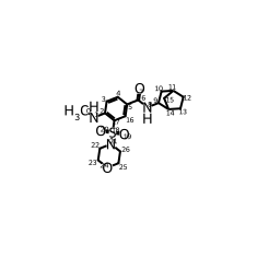 CNc1ccc(C(=O)NC2CC3CCC2C3)cc1S(=O)(=O)N1CCOCC1